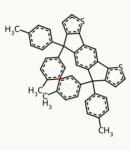 Cc1ccc(C2(c3ccc(C)cc3)c3cc4c(cc3-c3sccc32)-c2sccc2C4(c2ccc(C)cc2)c2ccc(C)cc2)cc1